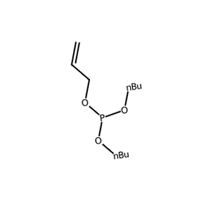 C=CCOP(OCCCC)OCCCC